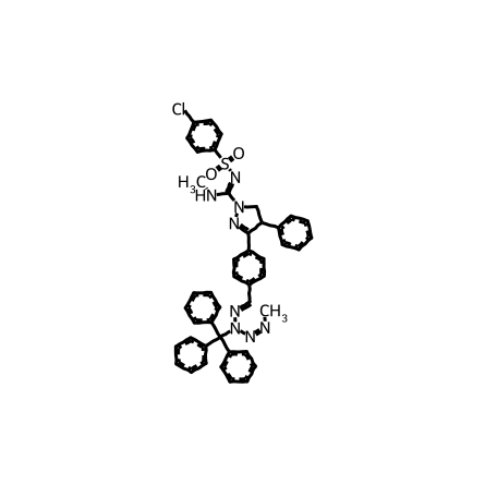 C/N=N\N(/N=C/c1ccc(C2=NN(/C(=N/S(=O)(=O)c3ccc(Cl)cc3)NC)CC2c2ccccc2)cc1)C(c1ccccc1)(c1ccccc1)c1ccccc1